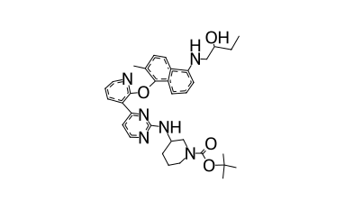 CCC(O)CNc1cccc2c(Oc3ncccc3-c3ccnc(NC4CCCN(C(=O)OC(C)(C)C)C4)n3)c(C)ccc12